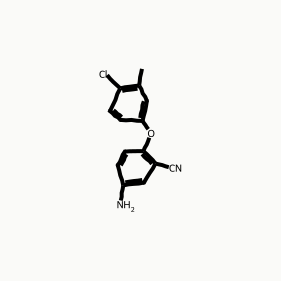 Cc1cc(Oc2ccc(N)cc2C#N)ccc1Cl